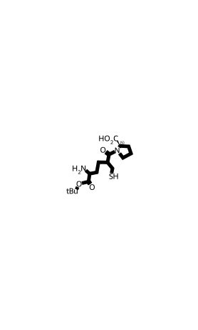 CC(C)(C)OC(=O)C(N)CCC(CS)C(=O)N1CCC[C@H]1C(=O)O